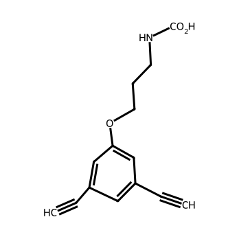 C#Cc1cc(C#C)cc(OCCCNC(=O)O)c1